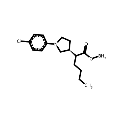 BOC(=O)C(CCCC)[C@@H]1CCN(c2ccc(Cl)cc2)C1